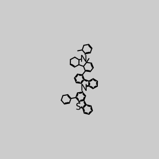 CC1CC=CC=C1N1C2CCC=CC2C2C(c3cccc4c3c3ccccc3n4-c3cc(C4=CCCC=C4)c4sc5ccccc5c4c3)=CC=CC21C